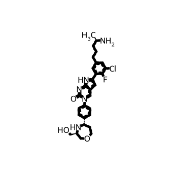 C[C@H](N)CCCc1cc(Cl)c(F)c(-c2cc3cn(-c4ccc([C@@H]5CCOC[C@@H](CO)N5)cc4)c(=O)nc3[nH]2)c1